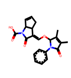 CC1=C(C)C(O/C=C2/C(=O)N(C(=O)O)C3C=CCC23)N(c2ccccc2)C1=O